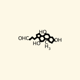 C[C@]12CC[C@H](O)CC1C[C@H](O)C1C3CCC(CCCC=O)C3[C@H](O)CC12